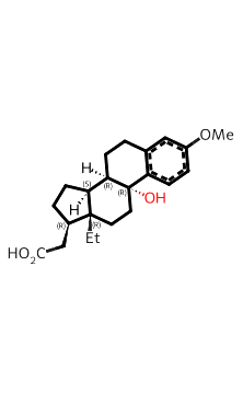 CC[C@]12CC[C@]3(O)c4ccc(OC)cc4CC[C@@H]3[C@@H]1CC[C@@H]2CC(=O)O